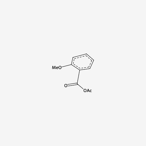 COc1ccccc1C(=O)OC(C)=O